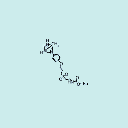 CC(C)(C)OC(=O)NCCS(=O)(=O)CCCOc1ccc(N2C[C@H]3CNCC2C(C)(C)C3)cc1